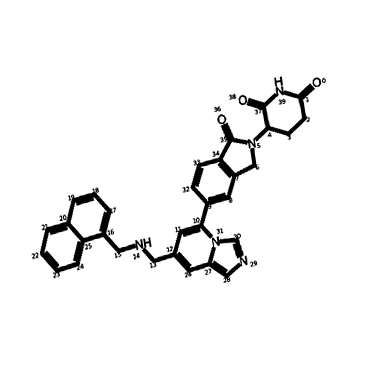 O=C1CCC(N2Cc3cc(-c4cc(CNCc5cccc6ccccc56)cc5cncn45)ccc3C2=O)C(=O)N1